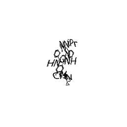 Cc1cc(NCc2ccccc2)c(C(=O)Nc2cccc(-c3nncn3C(C)C)n2)cc1-n1cnc(C2CC2)c1